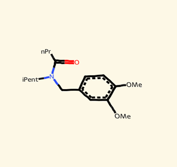 CCCC(=O)N(Cc1ccc(OC)c(OC)c1)C(C)CCC